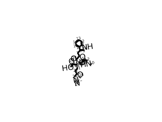 CNCC(=O)OC(Cc1c[nH]c2ccccc12)C(=O)N[C@@H](CCC(=O)C=[N+]=[N-])C(=O)O